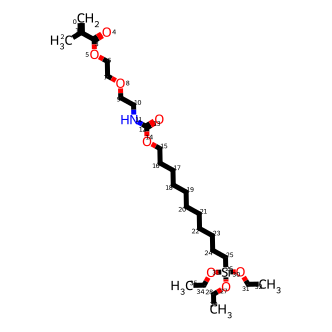 C=C(C)C(=O)OCCOCCNC(=O)OCCCCCCCCCCC[Si](OCC)(OCC)OCC